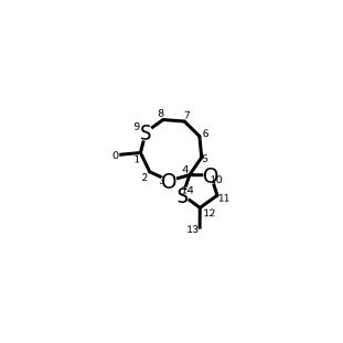 CC1COC2(CCCCS1)OCC(C)S2